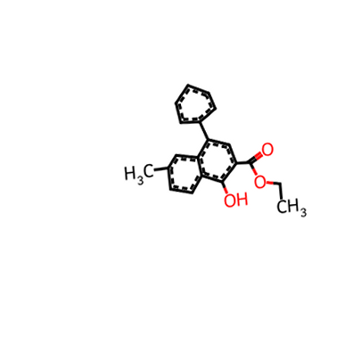 CCOC(=O)c1cc(-c2ccccc2)c2cc(C)ccc2c1O